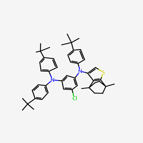 CC(C)(C)c1ccc(N(c2ccc(C(C)(C)C)cc2)c2cc(Cl)cc(N(c3ccc(C(C)(C)C)cc3)c3csc4c3C3(C)CCC4(C)CC3)c2)cc1